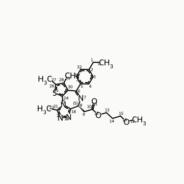 CCc1ccc(C2=N[C@@H](CC(=O)OCCCOC)c3nnc(C)n3-c3sc(C)c(C)c32)cc1